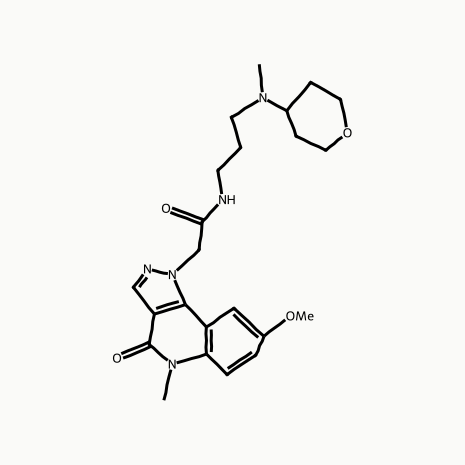 COc1ccc2c(c1)c1c(cnn1CC(=O)NCCCN(C)C1CCOCC1)c(=O)n2C